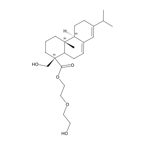 CC(C)C1=CC2=CCC3[C@](CO)(C(=O)OCCOCCO)CCC[C@]3(C)[C@H]2CC1